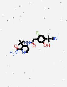 CC(C)(C)c1c(NC(=O)Cc2cc(O)c(C(C)(C)C#N)cc2F)ccnc1C(N)=O